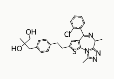 Cc1nnc2n1-c1sc(CCc3ccc(CC(C)(O)CO)cc3)cc1C(c1ccccc1Cl)=NC2C